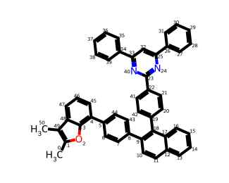 Cc1oc2c(-c3ccc(-c4ccc5ccccc5c4-c4ccc(-c5nc(-c6ccccc6)cc(-c6ccccc6)n5)cc4)cc3)cccc2c1C